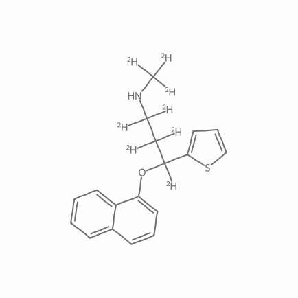 [2H]C([2H])([2H])NC([2H])([2H])C([2H])([2H])C([2H])(Oc1cccc2ccccc12)c1cccs1